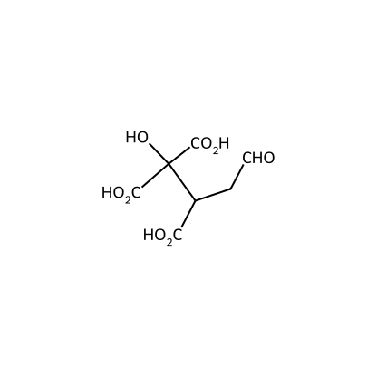 O=CCC(C(=O)O)C(O)(C(=O)O)C(=O)O